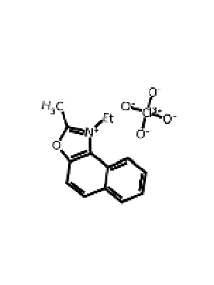 CC[n+]1c(C)oc2ccc3ccccc3c21.[O-][Cl+3]([O-])([O-])[O-]